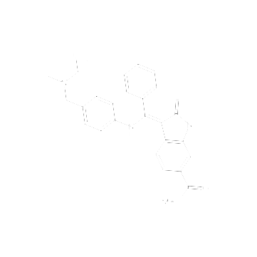 COC(=O)c1ccc2c(c1)NC(=O)C2=C(Nc1ccc(CN(C)CC(=O)O)cc1)c1ccccc1